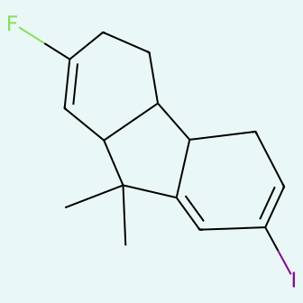 CC1(C)C2=CC(I)=CCC2C2CCC(F)=CC21